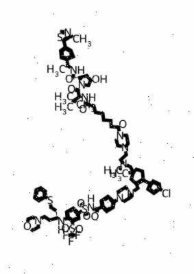 Cc1ncsc1-c1ccc([C@H](C)NC(=O)[C@@H]2C[C@@H](O)CN2C(=O)[C@@H](NC(=O)CCCCCCC(=O)N2CCN(CCN(C)CC3(C)CCC(c4ccc(Cl)cc4)=C(CN4CCN(c5ccc(C(=O)NS(=O)(=O)c6ccc(N[C@@H](CCSc7ccccc7)CCN7CCOCC7)c(S(=O)(=O)C(F)(F)F)c6)cc5)CC4)C3)CC2)C(C)(C)C)cc1